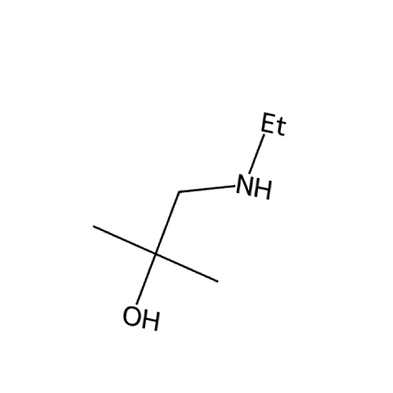 CCNCC(C)(C)O